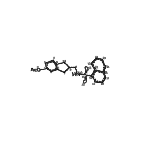 CC(=O)Oc1ccc2c(c1)CC(CNS(=O)(=O)c1cccc3ccccc13)C2